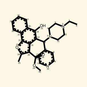 CCN1CCN(C(c2ccncc2)c2c(O)c3ccccc3c3oc(C)c(C(=O)OC)c23)CC1